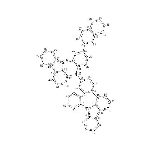 c1ccc(-n2c3ccccc3c3cccc(-c4ccc(N(c5ccc(-c6ccc7ccccc7c6)cc5)c5cccc6c5sc5ccccc56)cc4)c32)cc1